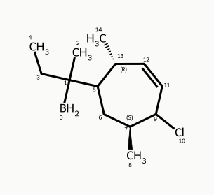 BC(C)(CC)C1C[C@H](C)C(Cl)C=C[C@H]1C